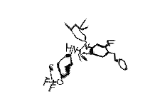 CC1CC(n2c(Nc3ccc(OC(F)(F)F)cc3)nc3cc(CC=O)c(F)cc32)CC(C)(C)C1